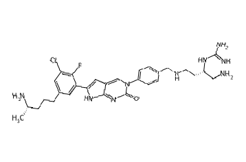 C[C@H](N)CCCc1cc(Cl)c(F)c(-c2cc3cn(-c4ccc(CNCC[C@@H](CN)NC(=N)N)cc4)c(=O)nc3[nH]2)c1